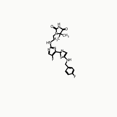 CC1(C)C(=O)NC(=O)N1CCNc1ncc(F)c(-c2ncc(NCc3ccc(F)cc3)s2)n1